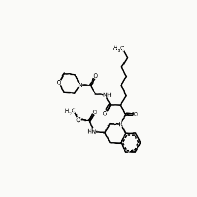 CCCCCCC(C(=O)NCC(=O)N1CCOCC1)C(=O)N1CC(NC(=O)OC)Cc2ccccc21